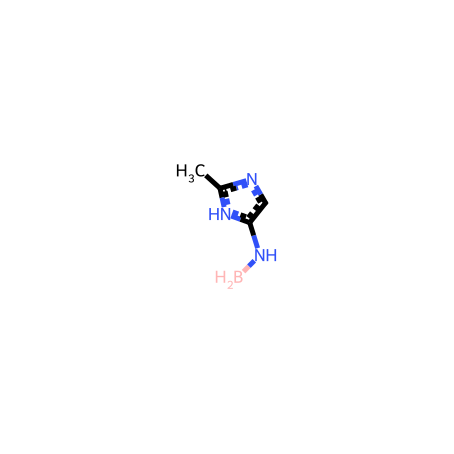 BNc1cnc(C)[nH]1